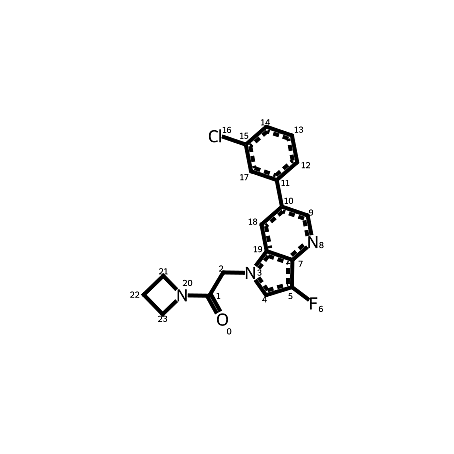 O=C(Cn1cc(F)c2ncc(-c3cccc(Cl)c3)cc21)N1CCC1